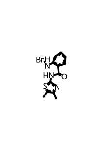 Cc1nc(NC(=O)c2ccccc2NBr)sc1C